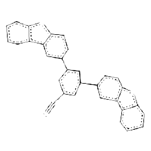 N#Cc1cc(-c2ccc3oc4ccccc4c3c2)cc(-c2ccc3oc4ccccc4c3c2)c1